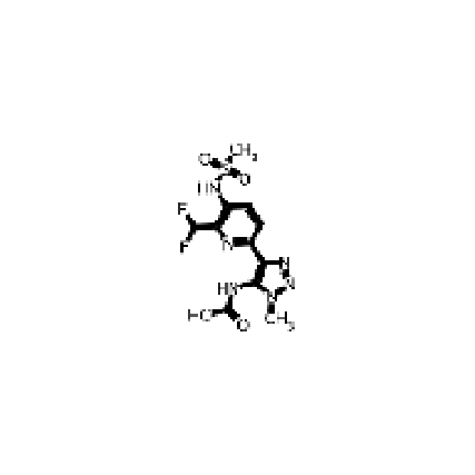 Cn1nnc(-c2ccc(NS(C)(=O)=O)c(C(F)F)n2)c1NC(=O)O